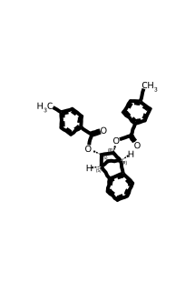 Cc1ccc(C(=O)O[C@@H]2[C@H](OC(=O)c3ccc(C)cc3)[C@@H]3C[C@H]2c2ccccc23)cc1